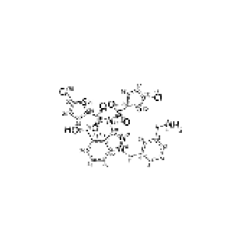 NCc1cccc(Cn2nc(N(S(=O)(=O)c3ccc(Cl)s3)S(=O)(=O)c3ccc(Cl)s3)c3c(CO)cccc32)c1